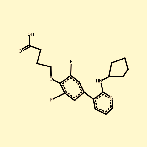 O=C(O)CCCOc1c(F)cc(-c2cccnc2NC2CCCC2)cc1F